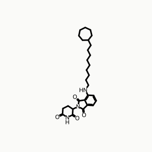 O=C1CCC(N2C(=O)c3cccc(NCCCCCCCCCC4CCCCCC4)c3C2=O)C(=O)N1